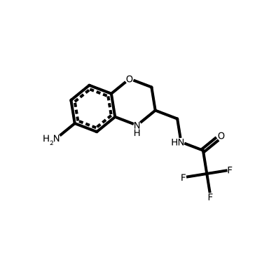 Nc1ccc2c(c1)NC(CNC(=O)C(F)(F)F)CO2